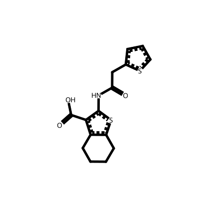 O=C(Cc1cccs1)Nc1sc2c(c1C(=O)O)CCCC2